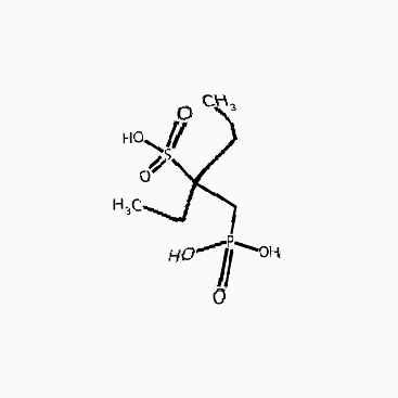 CCC(CC)(CP(=O)(O)O)S(=O)(=O)O